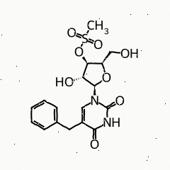 CS(=O)(=O)O[C@@H]1[C@@H](O)[C@H](n2cc(Cc3ccccc3)c(=O)[nH]c2=O)O[C@@H]1CO